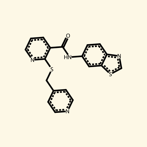 O=C(Nc1ccc2ncsc2c1)c1cccnc1SCc1ccncc1